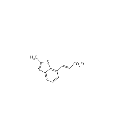 CCOC(=O)/C=C/c1cccc2nc(C)sc12